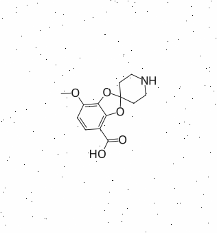 COc1ccc(C(=O)O)c2c1OC1(CCNCC1)O2